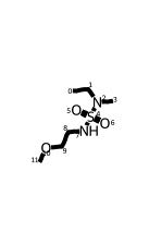 CCN(C)S(=O)(=O)NCCOC